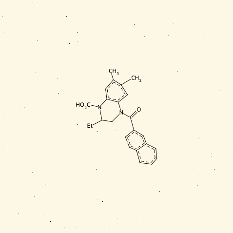 CCC1CN(C(=O)c2ccc3ccccc3c2)c2cc(C)c(C)cc2N1C(=O)O